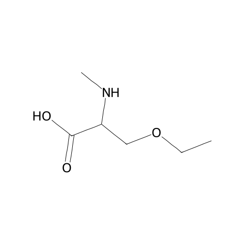 CCOCC(NC)C(=O)O